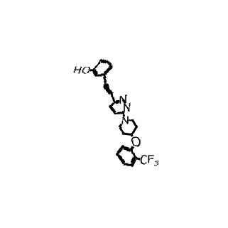 Oc1cccc(C#Cc2ccc(N3CCC(Oc4ccccc4C(F)(F)F)CC3)nn2)c1